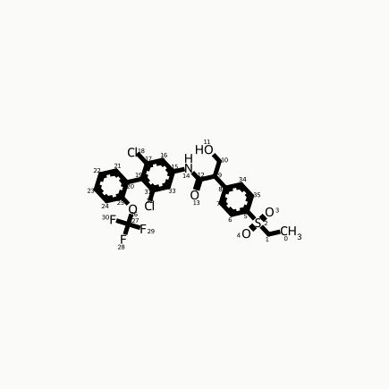 CCS(=O)(=O)c1ccc(C(CO)C(=O)Nc2cc(Cl)c(-c3ccccc3OC(F)(F)F)c(Cl)c2)cc1